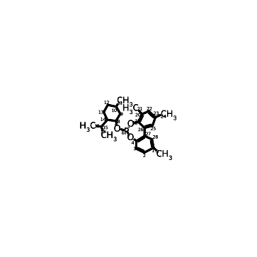 Cc1ccc2op(OC3CC(C)CCC3C(C)C)oc3c(C)cc(C)cc3c2c1